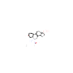 CCCCCC(=O)NC1C[C@@H]2[C@H](CC[C@]3(C)[C@@H](O)[C@H](O)C[C@@H]23)c2ccc(O)cc21